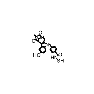 CN1C(=O)C2CN(Cc3c2c2cc(O)ccc2n3Cc2ccc(C(=O)NO)cc2)C1=O